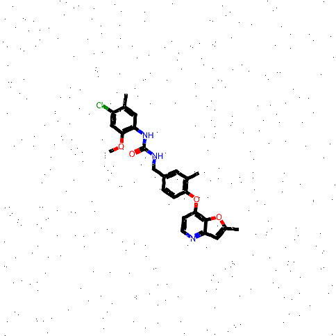 COc1cc(Cl)c(C)cc1NC(=O)NCc1ccc(Oc2ccnc3cc(C)oc23)c(C)c1